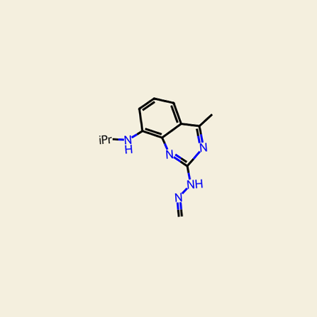 C=NNc1nc(C)c2cccc(NC(C)C)c2n1